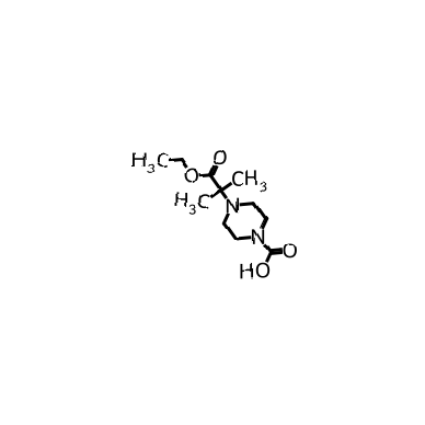 CCOC(=O)C(C)(C)N1CCN(C(=O)O)CC1